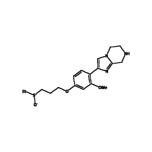 CC[S+]([O-])CCCOc1ccc(-c2cn3c(n2)CNCC3)c(OC)c1